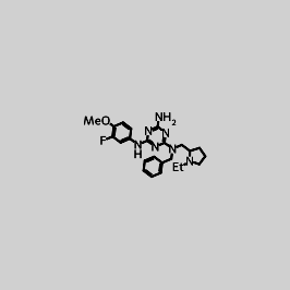 CCN1CCCC1CN(Cc1ccccc1)c1nc(N)nc(Nc2ccc(OC)c(F)c2)n1